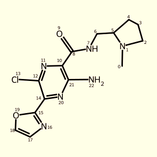 CN1CCCC1CNC(=O)c1nc(Cl)c(-c2ncco2)nc1N